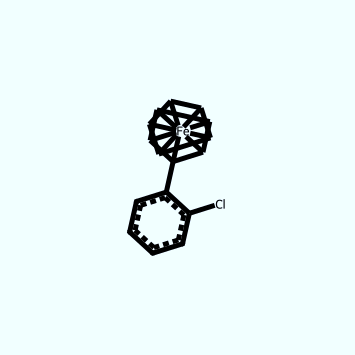 Clc1ccccc1[C]12[CH]3[CH]4[CH]5[CH]1[Fe]45321678[CH]2[CH]1[CH]6[CH]7[CH]28